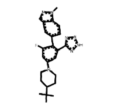 Cn1ncc2cc(-c3c(F)cc(N4CCC(C(C)(C)C)CC4)cc3-c3nn[nH]n3)ccc21